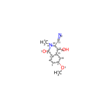 COc1ccc2c(=O)n(C)c(C#N)c(O)c2c1